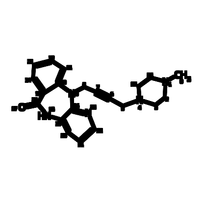 CN1CCN(CC#CCN2c3ccccc3C(=O)Nc3cccnc32)CC1